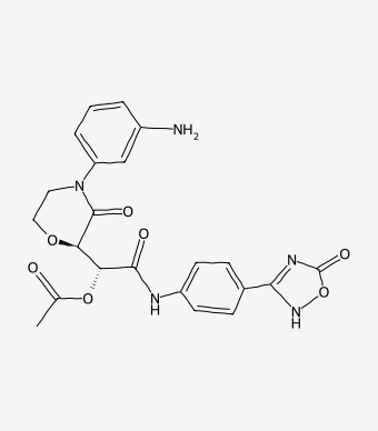 CC(=O)O[C@@H](C(=O)Nc1ccc(-c2nc(=O)o[nH]2)cc1)[C@H]1OCCN(c2cccc(N)c2)C1=O